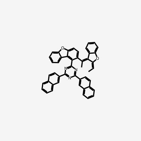 C/C=c1/oc2ccccc2/c1=C(/C)c1ccc2oc3ccccc3c2c1-c1nc(-c2ccc3ccccc3c2)nc(-c2ccc3ccccc3c2)n1